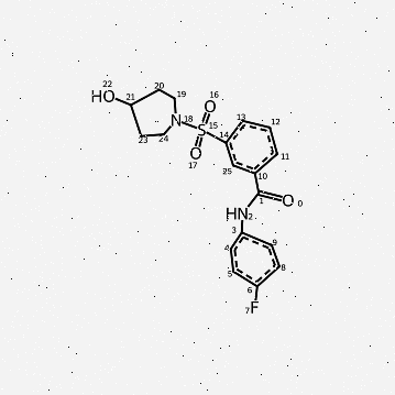 O=C(Nc1ccc(F)cc1)c1cccc(S(=O)(=O)N2CCC(O)CC2)c1